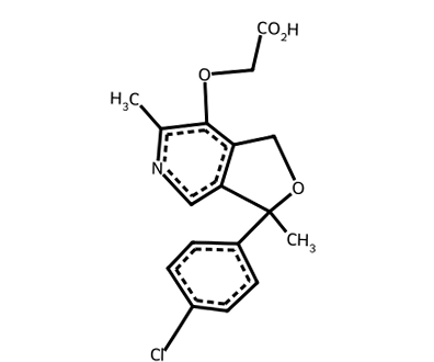 Cc1ncc2c(c1OCC(=O)O)COC2(C)c1ccc(Cl)cc1